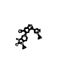 CN1C(=O)N(C2CC2)C2CCN(c3cc4c(cnn4-c4cnn(C5CC5)c4)cc3Cl)CC21